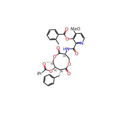 COc1ccnc(C(=O)N[C@H]2COC(=O)[C@H](Cc3ccccc3)[C@@H](OC(=O)C(C)C)[C@H](C)OC2=O)c1OC(=O)c1ccccc1C